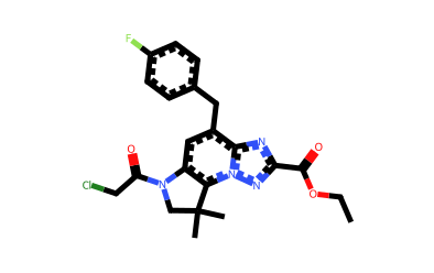 CCOC(=O)c1nc2c(Cc3ccc(F)cc3)cc3c(n2n1)C(C)(C)CN3C(=O)CCl